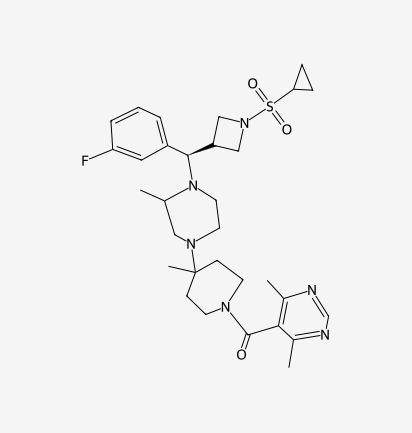 Cc1ncnc(C)c1C(=O)N1CCC(C)(N2CCN([C@@H](c3cccc(F)c3)C3CN(S(=O)(=O)C4CC4)C3)C(C)C2)CC1